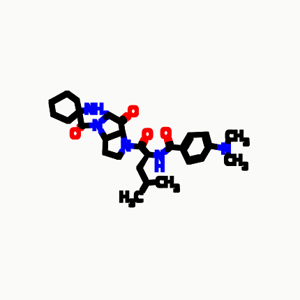 CC(C)C[C@H](NC(=O)c1ccc(N(C)C)cc1)C(=O)N1CCC2C1C(=O)CN2C(=O)C1(N)CCCCC1